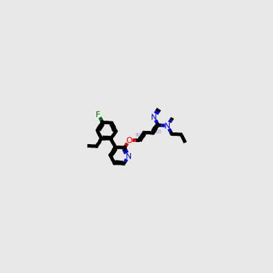 C=N/C(=C\C=C\Oc1ncccc1-c1ccc(F)cc1CC)N(C)CCC